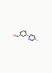 O=Cc1cccc(-c2ncc(F)cn2)c1